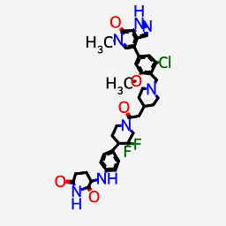 COc1cc(-c2cn(C)c(=O)c3[nH]ncc23)cc(Cl)c1CN1CCC(CC(=O)N2CCC(c3ccc(NC4CCC(=O)NC4=O)cc3)C(F)(F)C2)CC1